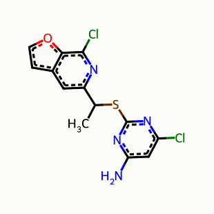 CC(Sc1nc(N)cc(Cl)n1)c1cc2ccoc2c(Cl)n1